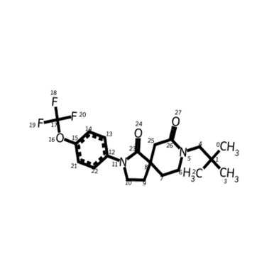 CC(C)(C)CN1CCC2(CCN(c3ccc(OC(F)(F)F)cc3)C2=O)CC1=O